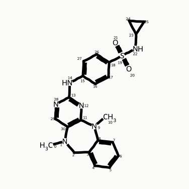 CN1Cc2ccccc2N(C)c2nc(Nc3ccc(S(=O)(=O)NC4CC4)cc3)ncc21